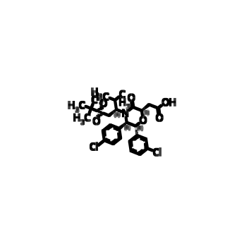 CC(C)[C@H](CS(=O)(=O)C(C)(C)C)N1C(=O)[C@@H](CC(=O)O)O[C@H](c2cccc(Cl)c2)[C@H]1c1ccc(Cl)cc1